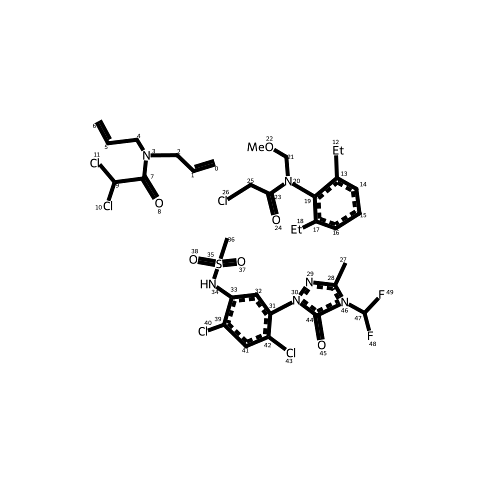 C=CCN(CC=C)C(=O)C(Cl)Cl.CCc1cccc(CC)c1N(COC)C(=O)CCl.Cc1nn(-c2cc(NS(C)(=O)=O)c(Cl)cc2Cl)c(=O)n1C(F)F